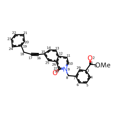 COC(=O)c1cccc(Cn2ccc3ccc(C#CCc4ccccc4)cc3c2=O)c1